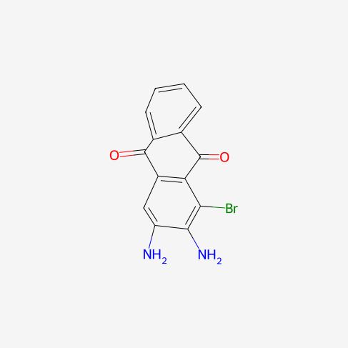 Nc1cc2c(c(Br)c1N)C(=O)c1ccccc1C2=O